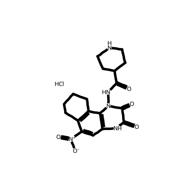 Cl.O=C(Nn1c(=O)c(=O)[nH]c2cc([N+](=O)[O-])c3c(c21)CCCC3)C1CCNCC1